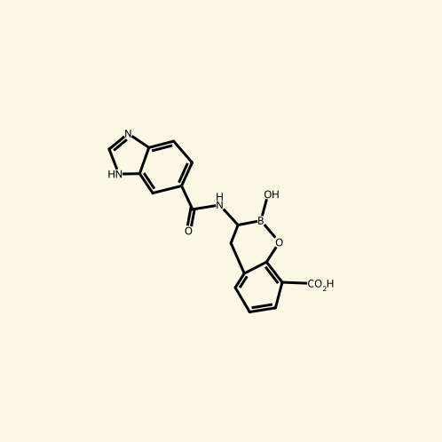 O=C(NC1Cc2cccc(C(=O)O)c2OB1O)c1ccc2nc[nH]c2c1